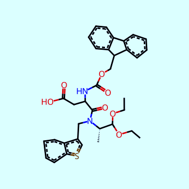 CCOC(OCC)[C@H](C)N(Cc1csc2ccccc12)C(=O)C(CC(=O)O)NC(=O)OCC1c2ccccc2-c2ccccc21